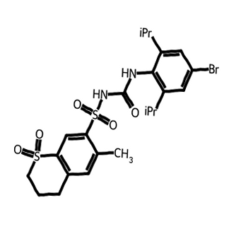 Cc1cc2c(cc1S(=O)(=O)NC(=O)Nc1c(C(C)C)cc(Br)cc1C(C)C)S(=O)(=O)CCC2